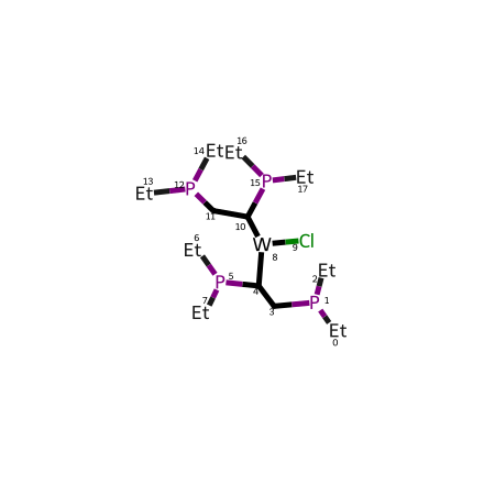 CCP(CC)C[CH](P(CC)CC)[W]([Cl])[CH](CP(CC)CC)P(CC)CC